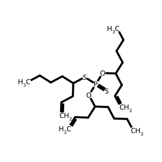 C=CCC(CCCC)OP(=S)(OC(CC=C)CCCC)SC(CC=C)CCCC